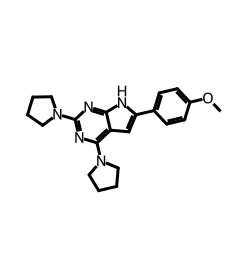 COc1ccc(-c2cc3c(N4CCCC4)nc(N4CCCC4)nc3[nH]2)cc1